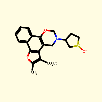 CCOC(=O)c1c(C)oc2c1c1c(c3ccccc32)OCN(C2CC[S+]([O-])C2)C1